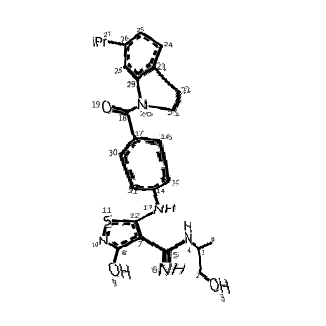 CC(CO)NC(=N)c1c(O)nsc1Nc1ccc(C(=O)N2CCc3ccc(C(C)C)cc32)cc1